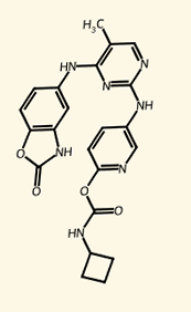 Cc1cnc(Nc2ccc(OC(=O)NC3CCC3)nc2)nc1Nc1ccc2oc(=O)[nH]c2c1